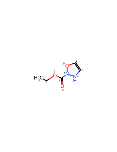 CCOC(=O)N1NC=CO1